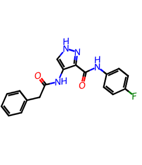 O=C(Cc1ccccc1)Nc1c[nH]nc1C(=O)Nc1ccc(F)cc1